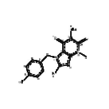 CCCCn1c(=O)c2c(nc(Br)n2Cc2ccc(F)cc2)n(C)c1=O